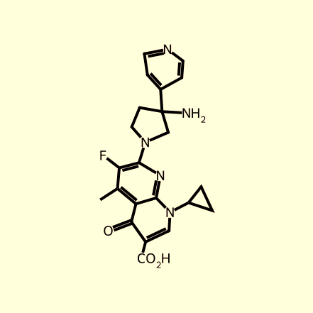 Cc1c(F)c(N2CCC(N)(c3ccncc3)C2)nc2c1c(=O)c(C(=O)O)cn2C1CC1